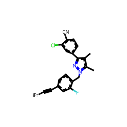 Cc1c(-c2ccc(C#N)c(Cl)c2)nn(Cc2ccc(C#CC(C)C)cc2F)c1C